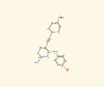 COc1ccc(C#Cc2cnc(N)nc2Nc2ccc(O)cc2)cc1